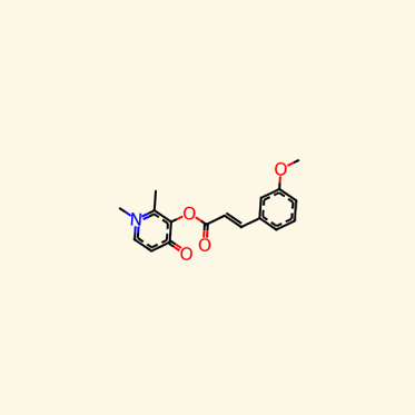 COc1cccc(/C=C/C(=O)Oc2c(C)n(C)ccc2=O)c1